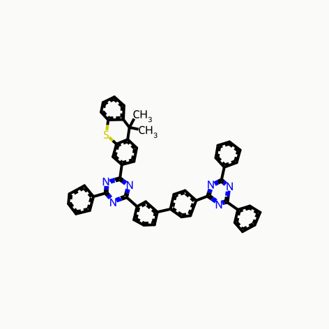 CC1(C)c2ccccc2Sc2cc(-c3nc(-c4ccccc4)nc(-c4cccc(-c5ccc(-c6nc(-c7ccccc7)nc(-c7ccccc7)n6)cc5)c4)n3)ccc21